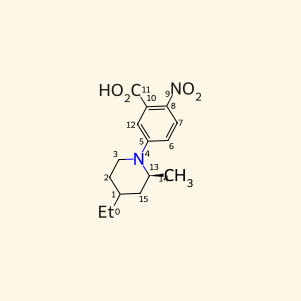 CCC1CCN(c2ccc([N+](=O)[O-])c(C(=O)O)c2)[C@@H](C)C1